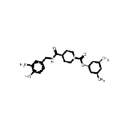 Cc1cc(CNC(=O)C2CCN(C(=O)O[C@@H]3C[C@H](C)C[C@H](C)C3)CC2)ccc1O